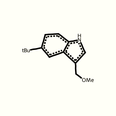 COCc1c[nH]c2ccc(C(C)(C)C)cc12